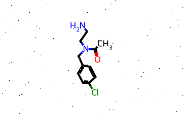 CC(=O)N(CCN)Cc1ccc(Cl)cc1